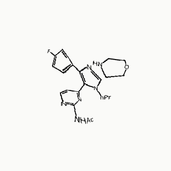 C1COCCN1.CCCn1cnc(-c2ccc(F)cc2)c1-c1ccnc(NC(C)=O)n1